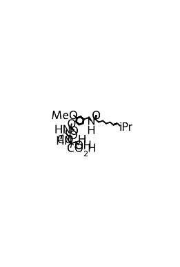 COc1cc(CNC(=O)CCCC/C=C/C(C)C)ccc1OC(=O)N[C@@H](CC(=O)O)C(=O)N[C@@H](CO)C(=O)O